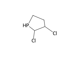 ClC1CCPC1Cl